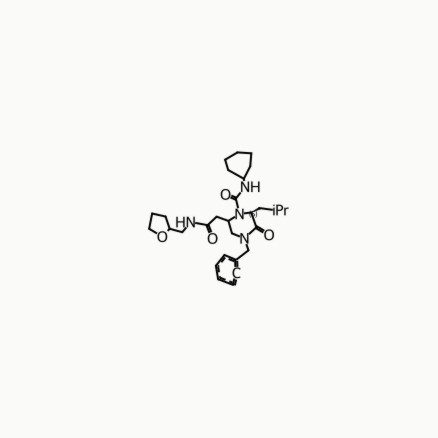 CC(C)C[C@H]1C(=O)N(Cc2ccccc2)CC(CC(=O)NCC2CCCO2)N1C(=O)NC1CCCCC1